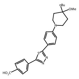 CCCCC1(OC)CCN(c2ccc(-c3nnc(-c4ccc(C(=O)O)cc4)s3)cc2)CC1